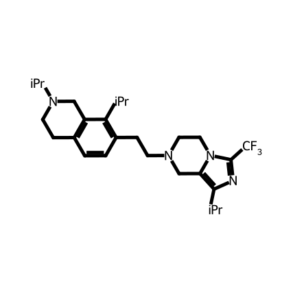 CC(C)c1nc(C(F)(F)F)n2c1CN(CCc1ccc3c(c1C(C)C)CN(C(C)C)CC3)CC2